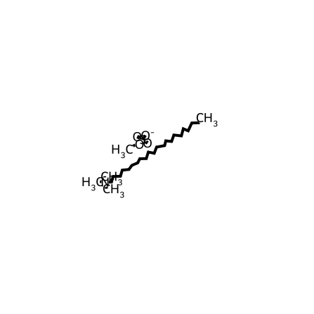 CCCCCCCCCCCCCCCCCCCCCC[N+](C)(C)C.CCOS(=O)(=O)[O-]